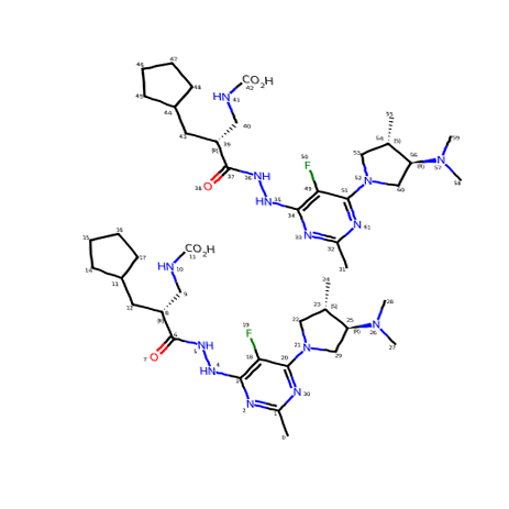 Cc1nc(NNC(=O)[C@@H](CNC(=O)O)CC2CCCC2)c(F)c(N2C[C@H](C)[C@@H](N(C)C)C2)n1.Cc1nc(NNC(=O)[C@@H](CNC(=O)O)CC2CCCC2)c(F)c(N2C[C@H](C)[C@@H](N(C)C)C2)n1